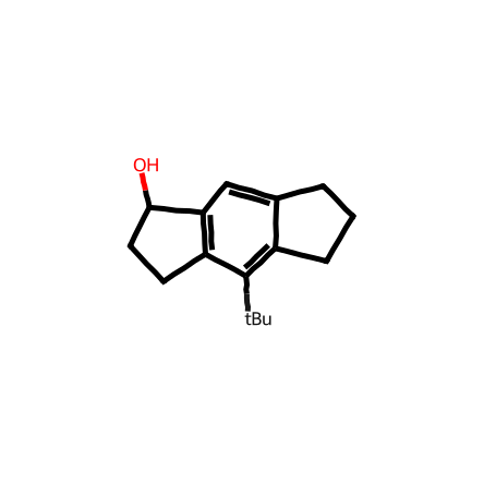 CC(C)(C)c1c2c(cc3c1CCC3O)CCC2